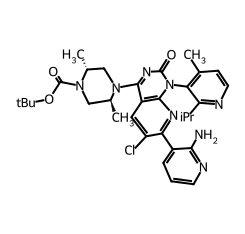 Cc1ccnc(C(C)C)c1-n1c(=O)nc(N2C[C@@H](C)N(C(=O)OC(C)(C)C)C[C@@H]2C)c2cc(Cl)c(-c3cccnc3N)nc21